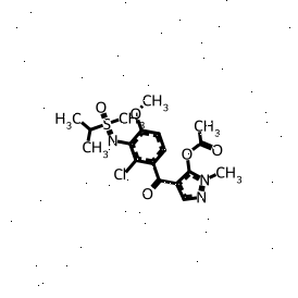 COc1ccc(C(=O)c2cnn(C)c2OC(C)=O)c(Cl)c1N=S(C)(=O)C(C)C